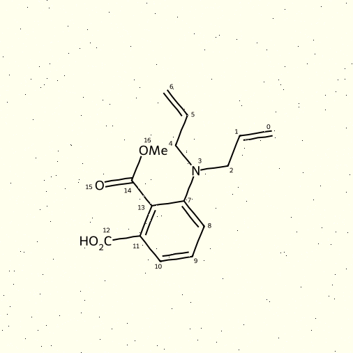 C=CCN(CC=C)c1cccc(C(=O)O)c1C(=O)OC